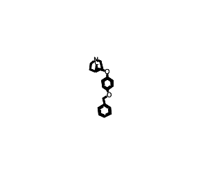 c1ccc(COc2ccc(OC3CN4CCC3CC4)cc2)cc1